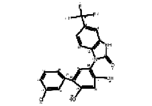 O=c1[nH]c2cc(C(F)(F)F)ccc2n1-c1cc(-c2cccc(Cl)c2)c(O)cc1O